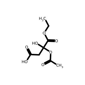 CCOC(=O)C(O)(CC(=O)O)OC(C)=O